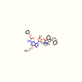 CC[C@H]1O[C@@H](n2cnc3c(OCCC#N)nc(NC(=O)COc4ccccc4)nc32)[C@@H](OC)C1O[P@]1O[C@@H](C[Si](C)(c2ccccc2)c2ccccc2)[C@H]2CCCN21